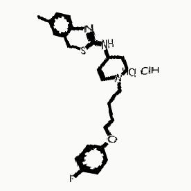 Cc1ccc2c(c1)CSC(NC1CCN(CCCCOc3ccc(F)cc3)CC1)=N2.Cl.Cl